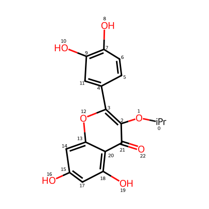 CC(C)Oc1c(-c2ccc(O)c(O)c2)oc2cc(O)cc(O)c2c1=O